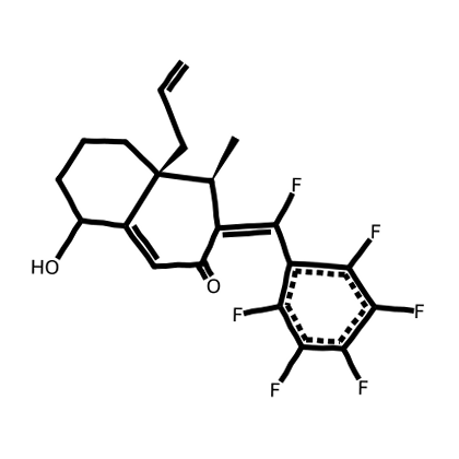 C=CC[C@]12CCCC(O)C1=CC(=O)C(=C(F)c1c(F)c(F)c(F)c(F)c1F)[C@@H]2C